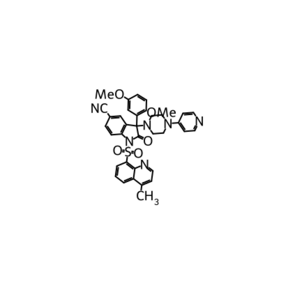 COc1ccc(OC)c(C2(N3CCN(c4ccncc4)CC3)C(=O)N(S(=O)(=O)c3cccc4c(C)ccnc34)c3ccc(C#N)cc32)c1